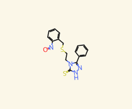 O=Nc1ccccc1CSCCn1c(-c2ccccc2)n[nH]c1=S